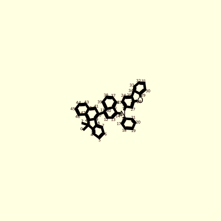 CC1(C)c2ccccc2-c2c(-c3ccc(N(c4ccccc4)c4ccc5c(c4)oc4ccccc45)c4ccccc34)cc3ccccc3c21